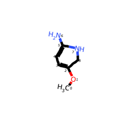 COC1=CC=C(N)NC1